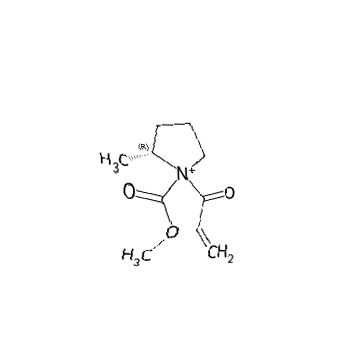 C=CC(=O)[N+]1(C(=O)OC)CCC[C@H]1C